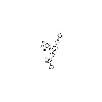 O=C(N[C@H](Cc1cc(Br)c(O)c(Br)c1)C(=O)N1CCN(c2ccncc2)CC1)N1CCC(n2cc(-c3ccccc3)[nH]c2=O)CC1